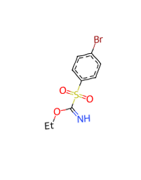 CCOC(=N)S(=O)(=O)c1ccc(Br)cc1